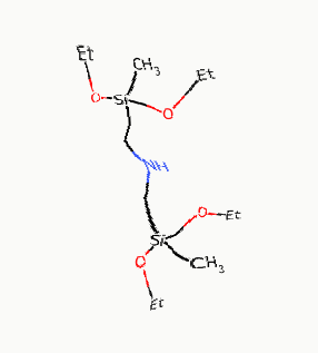 CCO[Si](C)(CNC[Si](C)(OCC)OCC)OCC